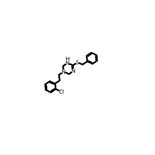 Clc1ccccc1CCN1CN=C(SCc2ccccc2)NC1